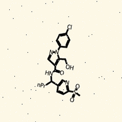 CCCC(NC(=O)c1cnn(-c2ccc(Cl)cc2)c1CO)c1ccc(S(C)(=O)=O)nc1